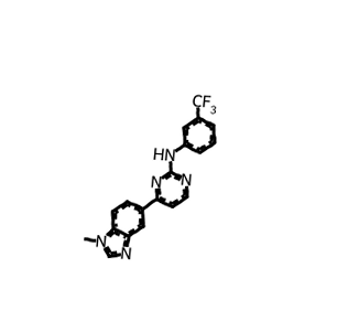 Cn1cnc2cc(-c3ccnc(Nc4cccc(C(F)(F)F)c4)n3)ccc21